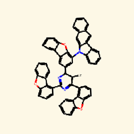 CCC1C(c2cccc3oc4ccccc4c23)=NC(c2cccc3oc4ccccc4c23)=NC1c1cc(-n2c3ccccc3c3cc4ccccc4cc32)c2oc3ccccc3c2c1